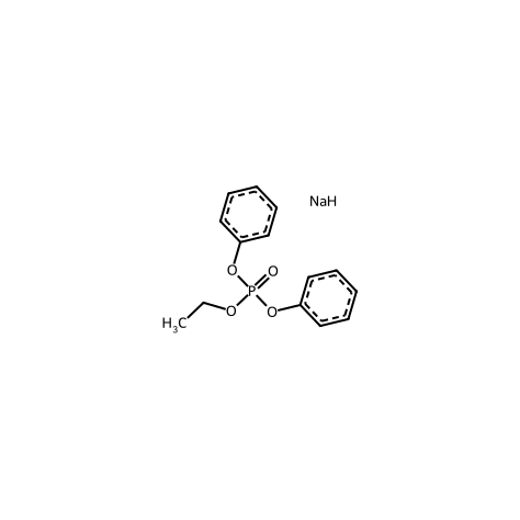 CCOP(=O)(Oc1ccccc1)Oc1ccccc1.[NaH]